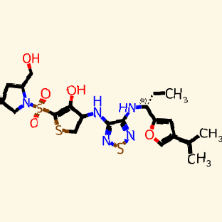 CC[C@@H](Nc1nsnc1NC1CSC(S(=O)(=O)N2CCCC2CO)=C1O)c1cc(C(C)C)co1